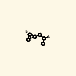 N#Cc1cc(-c2ccccc2)cc(-c2cccc(-c3ccc4c(c3)c3cc(Br)cc5c6ccccc6n4c53)c2)c1